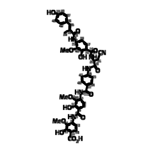 COc1c(NC(=O)c2ccc(NC(=O)c3ccc(NC(=O)C(CC#N)NC(=O)c4ccc(NC(=O)/C(C)=C/c5ccc(O)cc5)c(OC)c4O)cc3)c(OC)c2O)ccc(C(=O)O)c1O